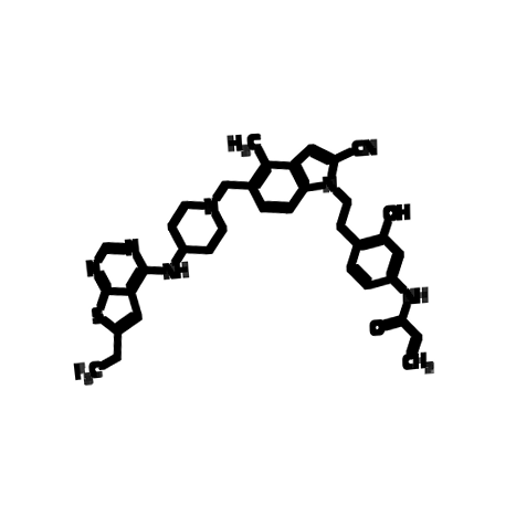 C=CC(=O)Nc1ccc(CCn2c(C#N)cc3c(C)c(CN4CCC(Nc5ncnc6sc(CC(F)(F)F)cc56)CC4)ccc32)c(O)c1